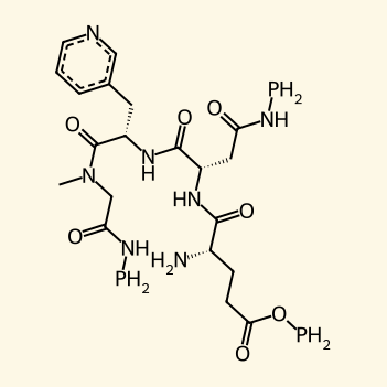 CN(CC(=O)NP)C(=O)[C@H](Cc1cccnc1)NC(=O)[C@H](CC(=O)NP)NC(=O)[C@@H](N)CCC(=O)OP